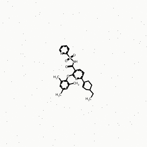 CCC1CC=C(c2ccc(C(=O)NS(=O)(=O)c3ccccn3)c(Oc3c(C)cc(C)cc3C)n2)CC1